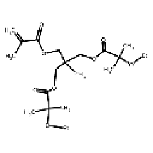 C=C(C)C(=O)OCC(C)(COC(=O)C(C)(C)OCC)COC(=O)C(C)(C)OCC